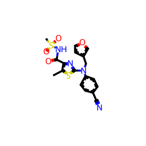 Cc1sc(N(Cc2ccoc2)c2ccc(C#N)cc2)nc1C(=O)NS(C)(=O)=O